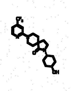 O=C1N([C@H]2CC[C@H](O)CC2)CCC12CCN(c1cc(C(F)(F)F)ccn1)CC2